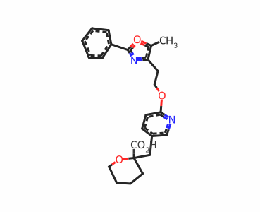 Cc1oc(-c2ccccc2)nc1CCOc1ccc(CC2(C(=O)O)CCCCO2)cn1